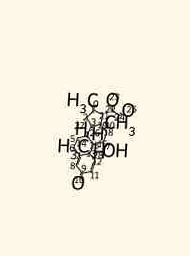 CC1C[C@H]2[C@@H]3CCC4=CC(=O)C=C[C@]4(C)[C@H]3C(O)C[C@]2(C)[C@H]1C(=O)C=O